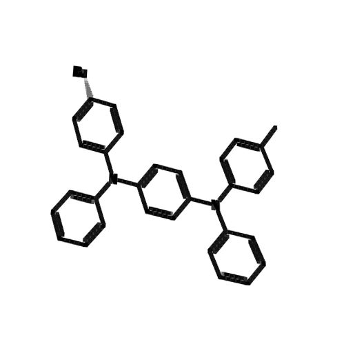 CC[C@@H](C)c1ccc(N(c2ccccc2)c2ccc(N(c3ccccc3)c3ccc(C)cc3)cc2)cc1